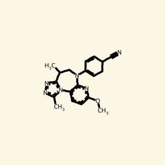 COc1ccc2c(n1)N(C1=CCC(C#N)C=C1)CC(C)c1nnc(C)n1-2